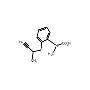 C#CC(C)Oc1ccccc1N(C)C(=O)O